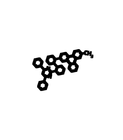 Cc1ccc2c3ccc(-c4ccccc4-c4ccccc4-c4nc(-c5ccccc5)cc(-c5ccccc5)n4)cc3c3ccccc3c2c1